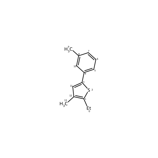 CCc1sc(-c2cccc(C)c2)cc1C